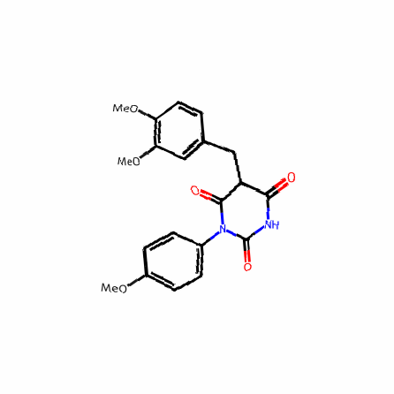 COc1ccc(N2C(=O)NC(=O)C(Cc3ccc(OC)c(OC)c3)C2=O)cc1